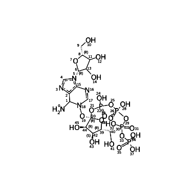 NC1c2ncn([C@@H]3O[C@H](CO)C(O)C3O)c2N=CN1O[C@]1(OP(=O)(O)OP(=O)(O)OP(=O)(O)OP(=O)(O)O)O[C@H](CO)[C@@H](O)[C@H]1O